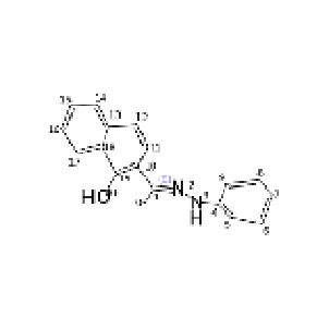 C/C(=N\Nc1ccccc1)c1ccc2ccccc2c1O